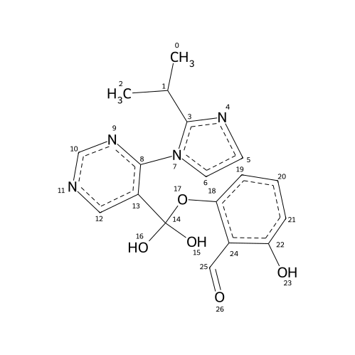 CC(C)c1nccn1-c1ncncc1C(O)(O)Oc1cccc(O)c1C=O